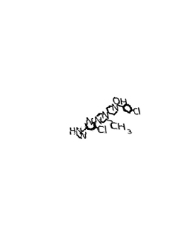 CC[C@H]1CN(c2ncc(C3=NCCN3)cc2Cl)CCN1C1CCN(C(O)c2ccc(Cl)cc2)CC1